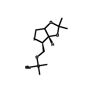 CC1(C)OC2CS[C@H](CO[Si](C)(C)C(C)(C)C)[C@H]2O1